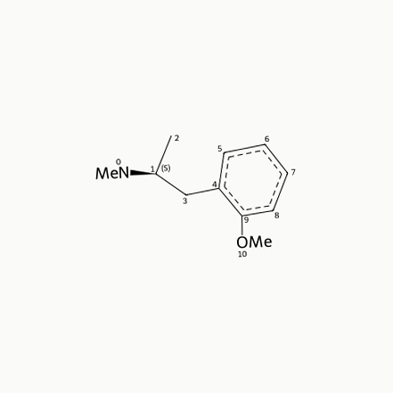 CN[C@@H](C)Cc1ccccc1OC